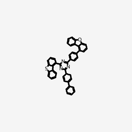 C1=CC(c2nc(-c3ccc(-c4cccc5oc6ccccc6c45)cc3)nc(-c3cccc4sc5ccccc5c34)n2)CC=C1c1ccccc1